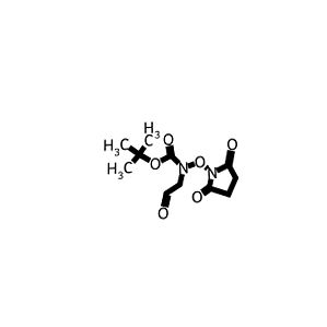 CC(C)(C)OC(=O)N(CC=O)ON1C(=O)CCC1=O